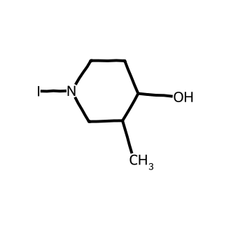 CC1CN(I)CCC1O